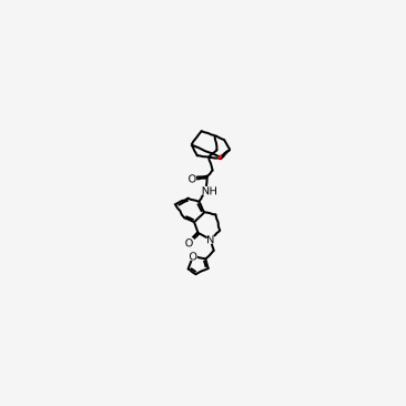 O=C(CC12CC3CC(CC(C3)C1)C2)Nc1cccc2c1CCN(Cc1ccco1)C2=O